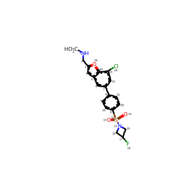 O=C(O)NCc1cc2cc(-c3ccc(S(=O)(=O)N4CC(F)C4)cc3)cc(Cl)c2o1